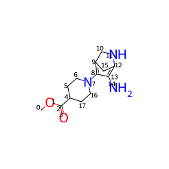 COC(=O)C1CCN(C2=C3CNC(=C2N)C3)CC1